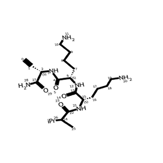 C#C[C@H](NC(=O)[C@H](CCCCN)NC(=O)[C@H](CCCCN)NC(=O)C(C)C(C)C)C(N)=O